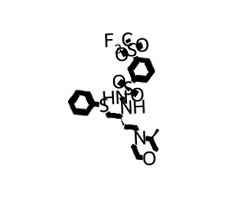 C[C@H]1COCCN1CC[C@H](CSc1ccccc1)NNS(=O)(=O)c1cccc(S(=O)(=O)C(F)(F)F)c1